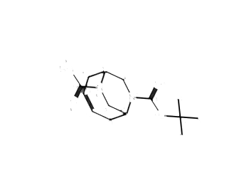 CC(C)(C)OC(=O)N1CC2CC=CCC1CN2C(=O)O